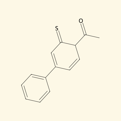 CC(=O)C1C=CC(c2ccccc2)=CC1=S